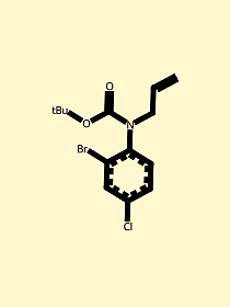 C=CCN(C(=O)OC(C)(C)C)c1ccc(Cl)cc1Br